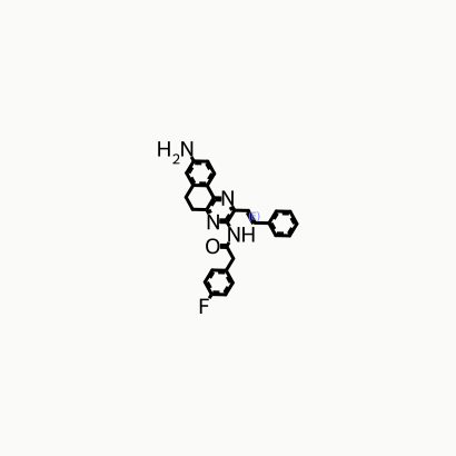 Nc1ccc2c(c1)CCc1nc(NC(=O)Cc3ccc(F)cc3)c(/C=C/c3ccccc3)nc1-2